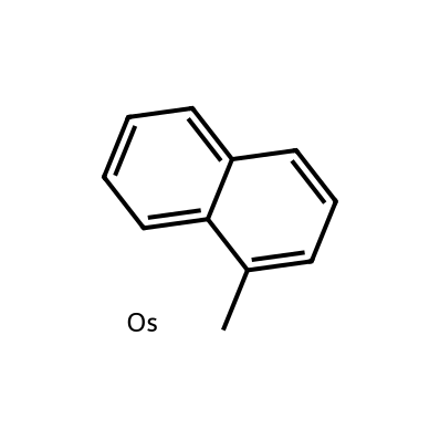 Cc1cccc2ccccc12.[Os]